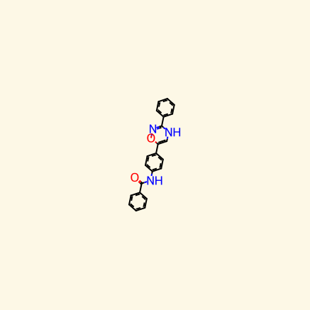 O=C(Nc1ccc(C2=CNC(c3ccccc3)=NO2)cc1)c1ccccc1